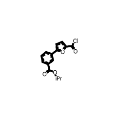 CC(C)OC(=O)c1cccc(-c2ccc(C(=O)Cl)o2)c1